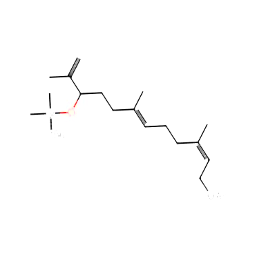 C=C(C)C(CC/C(C)=C/CC/C(C)=C\COC(C)=O)O[Si](C)(C)C(C)(C)C